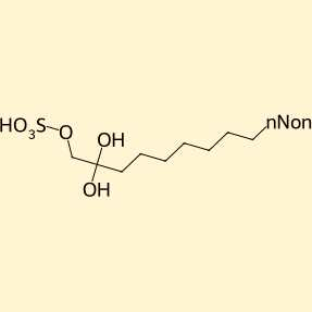 CCCCCCCCCCCCCCCCC(O)(O)COS(=O)(=O)O